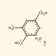 Cc1cc(C(=O)O)ccc1C(=O)O.O.[Ti]